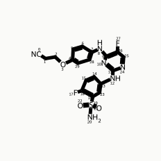 N#CCCOc1ccc(Nc2nc(Nc3ccc(F)c(S(N)(=O)=O)c3)ncc2F)cc1